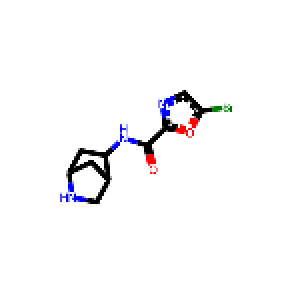 O=C(NC1CC2CC1CN2)c1ncc(Br)o1